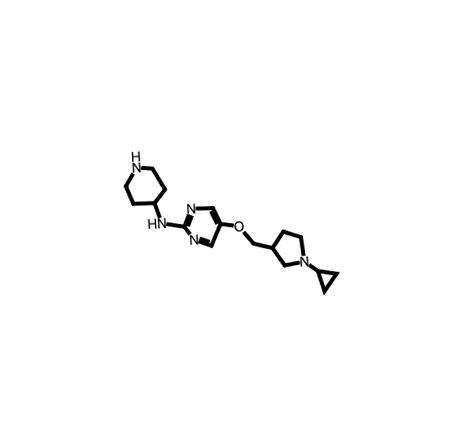 c1nc(NC2CCNCC2)ncc1OCC1CCN(C2CC2)C1